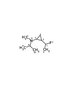 CC(F)C1CC1N(C)C(C)C